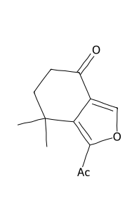 CC(=O)c1occ2c1C(C)(C)CCC2=O